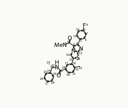 CNC(=O)c1c(-c2ccc(F)cc2)nc2sc(-c3cc(C(=O)N[C@@H](C)c4ccccc4)ccc3C)cn12